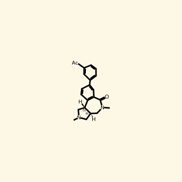 CC(=O)c1cccc(-c2ccc3c(c2)C(=O)N(C)C[C@H]2CN(C)C[C@H]32)c1